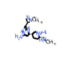 CNC[C@@H]1CC[C@H](c2cc(N)n3ncc(C4C=NN(C)C4)c3n2)CN1